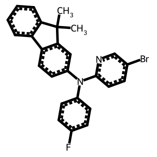 CC1(C)c2ccccc2-c2ccc(N(c3ccc(F)cc3)c3ccc(Br)cn3)cc21